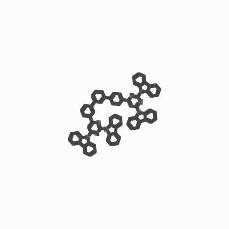 c1cc(-c2ccc(-c3cc(-n4c5ccccc5c5ccccc54)nc(-n4c5ccccc5c5ccccc54)n3)cc2)cc(-c2cccc(-c3cc(-n4c5ccccc5c5ccccc54)nc(-n4c5ccccc5c5ccccc54)n3)c2)c1